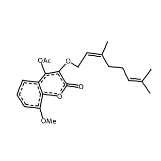 COc1cccc2c(OC(C)=O)c(OCC=C(C)CCC=C(C)C)c(=O)oc12